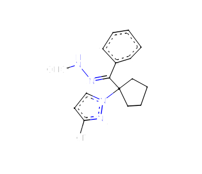 O=CN/N=C(\c1ccccc1)C1(n2ccc(C(F)(F)F)n2)CCCC1